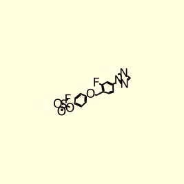 O=S(=O)(F)Oc1ccc(OCc2ccc(-n3cncn3)cc2F)cc1